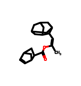 CC(=CC1C2CC3CC(C2)CC1C3)OC(=O)C1CC2C=CC1C2